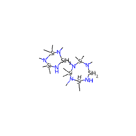 CN1[SiH2]N[SiH](C)N(C)[Si](C)(C)N(C)[Si]1(C)C.CN1[SiH2]N[Si](C)(C)N(C)[Si]1(C)C